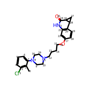 Cc1c(Cl)cccc1N1CCN(CCCCOc2ccc3c(c2)NC(=O)C2CC32)CC1